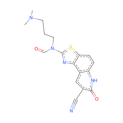 CN(C)CCCN(C=O)c1nc2c(ccc3[nH]c(=O)c(C#N)cc32)s1